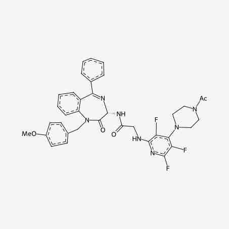 COc1ccc(CN2C(=O)[C@@H](NC(=O)CNc3nc(F)c(F)c(N4CCN(C(C)=O)CC4)c3F)N=C(c3ccccc3)c3ccccc32)cc1